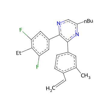 C=Cc1ccc(-c2nc(CCCC)cnc2-c2cc(F)c(CC)c(F)c2)cc1C